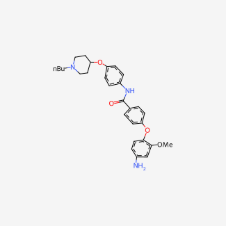 CCCCN1CCC(Oc2ccc(NC(=O)c3ccc(Oc4ccc(N)cc4OC)cc3)cc2)CC1